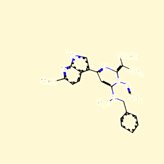 C=NN1C(N(C)Cc2ccccc2)=CC(c2c[nH]c3nc(OC)ccc23)=N/C1=C(/C)C(=O)OCC